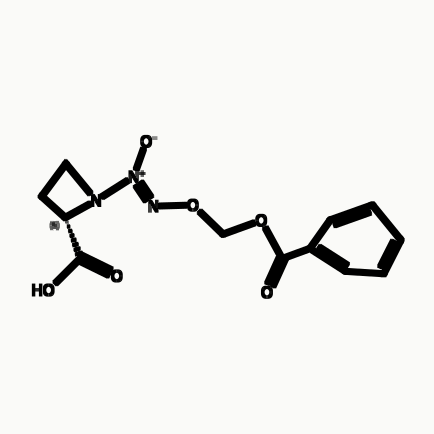 O=C(OCON=[N+]([O-])N1CC[C@H]1C(=O)O)c1ccccc1